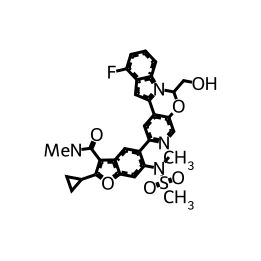 CNC(=O)c1c(C2CC2)oc2cc(N(C)S(C)(=O)=O)c(-c3cc4c(cn3)OC(CO)n3c-4cc4c(F)cccc43)cc12